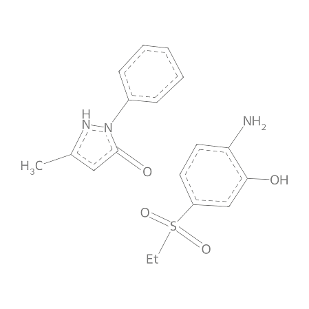 CCS(=O)(=O)c1ccc(N)c(O)c1.Cc1cc(=O)n(-c2ccccc2)[nH]1